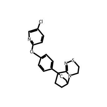 Clc1ccc(Oc2ccc(C34CCC(CC3)N3CCSN=C34)cc2)nc1